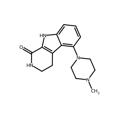 CN1CCN(c2cccc3[nH]c4c(c23)CCNC4=O)CC1